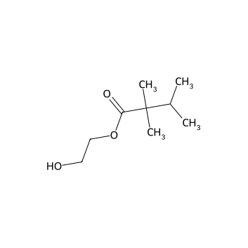 CC(C)C(C)(C)C(=O)OCCO